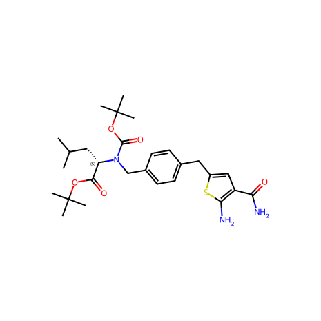 CC(C)C[C@@H](C(=O)OC(C)(C)C)N(Cc1ccc(Cc2cc(C(N)=O)c(N)s2)cc1)C(=O)OC(C)(C)C